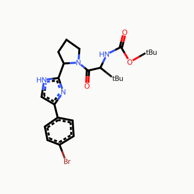 CC(C)(C)OC(=O)NC(C(=O)N1CCCC1c1nc(-c2ccc(Br)cc2)c[nH]1)C(C)(C)C